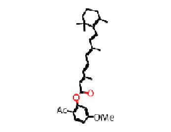 COc1ccc(C(C)=O)c(OC(=O)/C=C(C)/C=C/C=C(C)/C=C/C2=C(C)CCCC2(C)C)c1